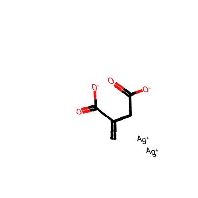 C=C(CC(=O)[O-])C(=O)[O-].[Ag+].[Ag+]